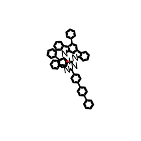 c1ccc(-c2ccc(-c3ccc(-c4nc(-c5ccccc5)nc(-n5c6ccccc6c6cc(-c7ccccc7)c7c8ccccc8n(-c8ccccc8-c8ccccc8)c7c65)n4)cc3)cc2)cc1